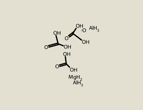 O=C(O)O.O=C(O)O.O=C(O)O.[AlH3].[AlH3].[MgH2].[O]